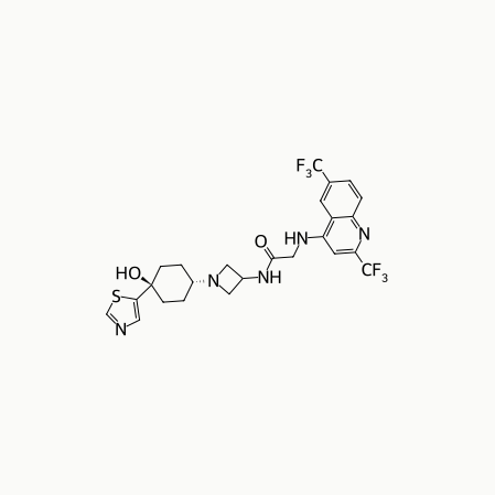 O=C(CNc1cc(C(F)(F)F)nc2ccc(C(F)(F)F)cc12)NC1CN([C@H]2CC[C@@](O)(c3cncs3)CC2)C1